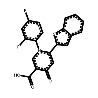 O=C(O)c1cn(-c2ccc(F)cc2F)c(-c2cc3ccccc3s2)cc1=O